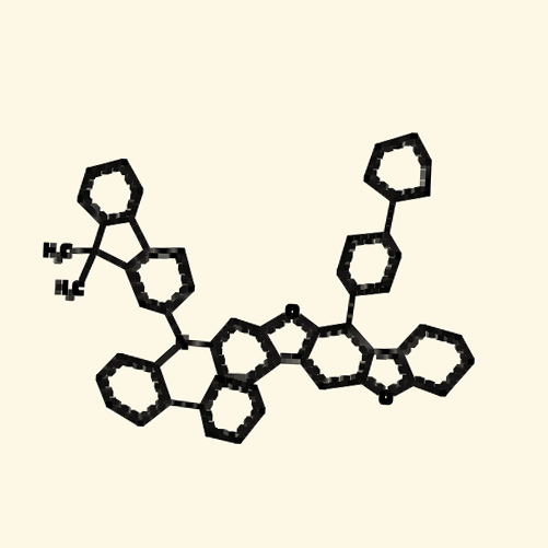 CC1(C)c2ccccc2-c2ccc(N(c3ccc4c(c3)oc3c(-c5ccc(-c6ccccc6)cc5)c5c(cc34)oc3ccccc35)c3ccccc3-c3ccccc3)cc21